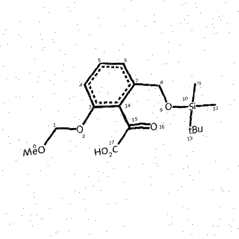 COCOc1cccc(CO[Si](C)(C)C(C)(C)C)c1C(=O)C(=O)O